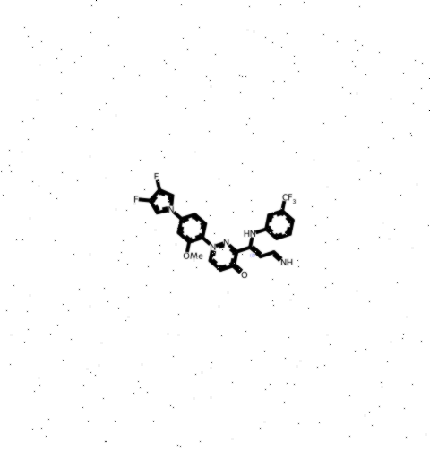 COc1cc(-n2cc(F)c(F)c2)ccc1-n1ccc(=O)c(/C(=C/C=N)Nc2cccc(C(F)(F)F)c2)n1